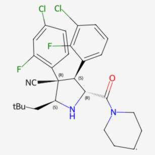 CC(C)(C)C[C@@H]1N[C@@H](C(=O)N2CC[CH]CC2)[C@H](c2cccc(Cl)c2F)[C@@]1(C#N)c1ccc(Cl)cc1F